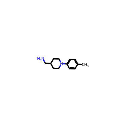 Cc1ccc(N2CCC(CN)CC2)cc1